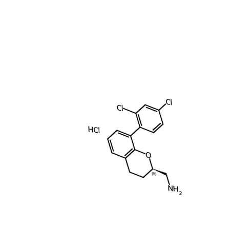 Cl.NC[C@H]1CCc2cccc(-c3ccc(Cl)cc3Cl)c2O1